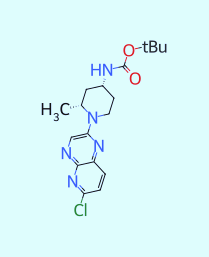 C[C@@H]1C[C@H](NC(=O)OC(C)(C)C)CCN1c1cnc2nc(Cl)ccc2n1